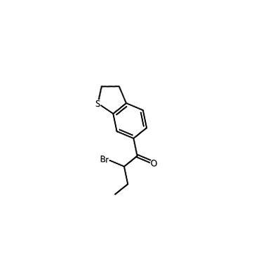 CCC(Br)C(=O)c1ccc2c(c1)SCC2